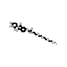 CCCOCCOCCOCCNC(=O)COc1ccc2c(c1)C(=O)N(C1CCC(=O)NC1=O)C2=O